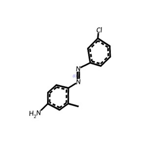 Cc1cc(N)ccc1/N=N/c1cccc(Cl)c1